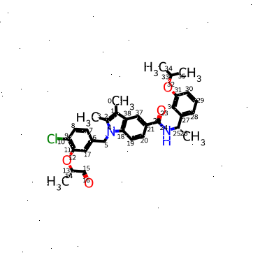 Cc1c(C)n(Cc2ccc(Cl)c(O[C@@H](C)C=O)c2)c2ccc(C(=O)N[C@@H](C)c3cccc(OC(C)C)c3)cc12